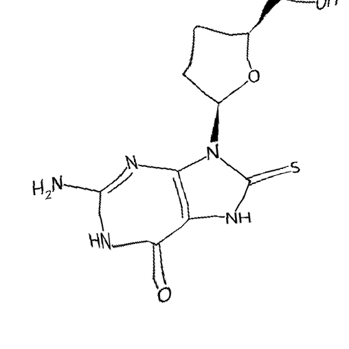 Nc1nc2c([nH]c(=S)n2[C@H]2CC[C@@H](CO)O2)c(=O)[nH]1